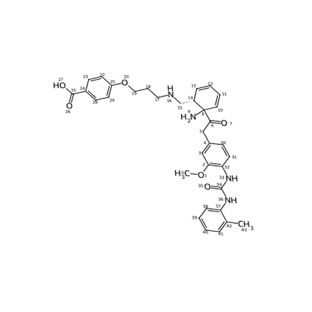 COc1cc(CC(=O)C2(N)C=CC=C[C@H]2CNCCCOc2ccc(C(=O)O)cc2)ccc1NC(=O)Nc1ccccc1C